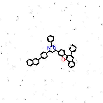 c1ccc(-c2nc(-c3ccc(-c4ccc5ccccc5c4)cc3)cc(-c3ccc4c(c3)oc3c5ccccc5cc(-c5ccccc5)c43)n2)cc1